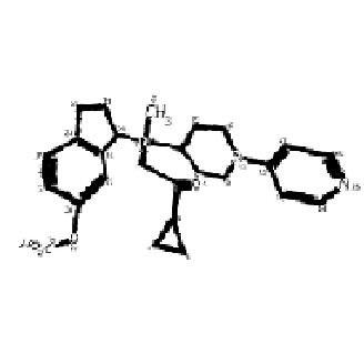 C[N+](CC(=O)C1CC1)(C1CCN(c2ccncc2)CC1)C1CCc2ccc(OC(=O)O)cc21